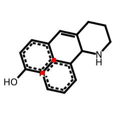 Oc1ccc(/C=C2/CCCNC2c2cccnc2)cc1